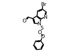 O=Cc1cn(SOOc2ccccc2)c2ncc(Br)cc12